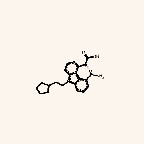 NC(=O)c1cccc2c1c1c(C(=O)C(=O)O)cccc1n2CCC1CCCC1